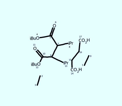 CC.CC.CC(C)COC(=O)C(C(C)C)C(C(=O)OCC(C)C)C(C)C.O=C(O)CCC(=O)O